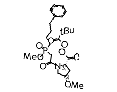 CO[C@H]1C[C@@H](C(=O)OOC(=O)C(C)(C)C)N(C(=O)CP(=O)(CCCCc2ccccc2)OC)C1